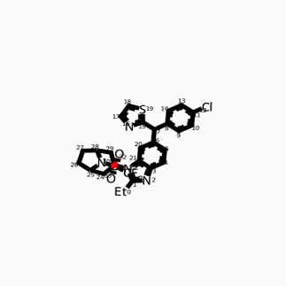 CCc1nc2ccc(C(c3ccc(Cl)cc3)c3nccs3)cc2n1C1CC2CCC(C1)N2S(=O)(=O)C(F)(F)F